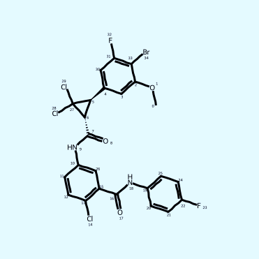 COc1cc([C@H]2[C@H](C(=O)Nc3ccc(Cl)c(C(=O)Nc4ccc(F)cc4)c3)C2(Cl)Cl)cc(F)c1Br